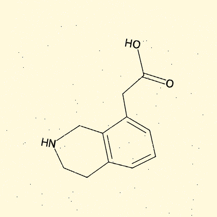 O=C(O)Cc1cccc2c1CNCC2